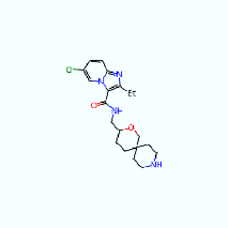 CCc1nc2ccc(Cl)cn2c1C(=O)NCC1CCC2(CCNCC2)CO1